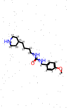 COc1ccc(CNC(=O)NCCCCC2CCNCC2)cc1